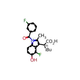 CCC(C)[C@H](C(=O)O)c1c(C)n(C(=O)c2cccc(F)c2)c2ccc(O)c(F)c12